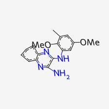 COc1cc(C)c(OC)c(Nc2nc3ccccc3nc2N)c1